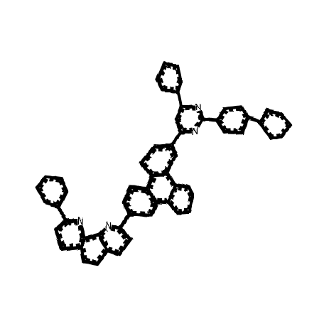 c1ccc(-c2ccc(-c3nc(-c4ccccc4)cc(-c4ccc5c6ccc(-c7ccc8ccc9ccc(-c%10ccccc%10)nc9c8n7)cc6c6ccccc6c5c4)n3)cc2)cc1